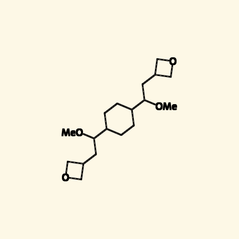 COC(CC1COC1)C1CCC(C(CC2COC2)OC)CC1